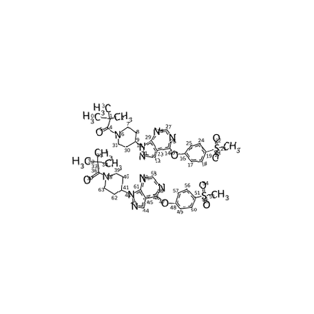 CC(C)(C)C(=O)N1CCC(n2ncc3c(Oc4ccc(S(C)(=O)=O)cc4)ncnc32)CC1.CC(C)(C)C(=O)N1CCC(n2ncc3c(Oc4ccc(S(C)(=O)=O)cc4)ncnc32)CC1